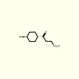 CC(C)[C@H]1CC[C@H](C(=O)CCC(=O)O)CC1